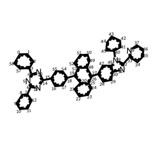 c1ccc(-c2nc(-c3ccccc3)nc(-c3ccc(-c4c5ccccc5c(-c5ccc6nc(-c7ccccn7)n(-c7ccccc7)c6c5)c5ccccc45)cc3)n2)cc1